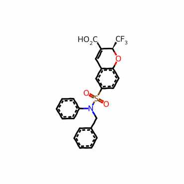 O=C(O)C1=Cc2cc(S(=O)(=O)N(Cc3ccccc3)c3ccccc3)ccc2O[C@@H]1C(F)(F)F